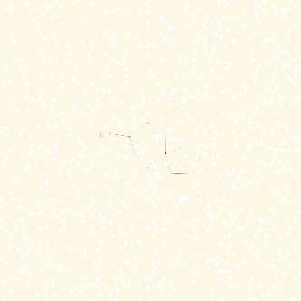 CC(C)C1CCC2(CCOC2)CC1